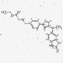 CCOC(=O)COCc1ccc(-n2ccc(C(C)c3ccc4[nH]c(=O)sc4c3)n2)nc1